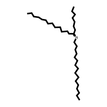 CCCCCCCCCCCCCCCCN=C(CCCCCCC)CCCCCCCCCCCCC